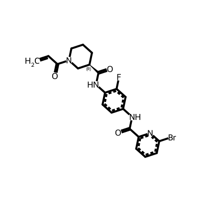 C=CC(=O)N1CCC[C@@H](C(=O)Nc2ccc(NC(=O)c3cccc(Br)n3)cc2F)C1